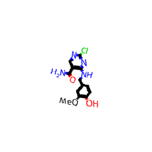 COc1cc(CNc2nc(Cl)ncc2C(N)=O)ccc1O